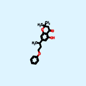 CC(CCOc1ccccc1)c1cc(O)c2c(c1)OC(C)(C)CC2=O